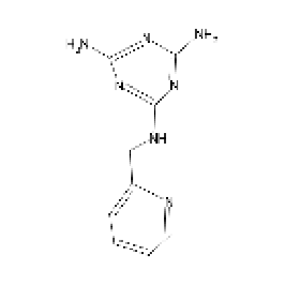 Nc1nc(N)nc(NCc2ccccn2)n1